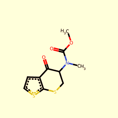 COC(=O)N(C)C1CSc2sccc2C1=O